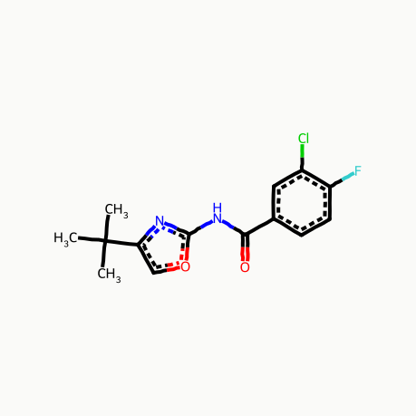 CC(C)(C)c1coc(NC(=O)c2ccc(F)c(Cl)c2)n1